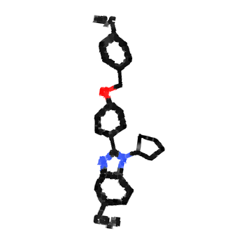 O=C(O)c1ccc(COc2ccc(-c3nc4cc(C(=O)O)ccc4n3C3CCCC3)cc2)cc1